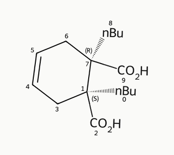 CCCC[C@]1(C(=O)O)CC=CC[C@@]1(CCCC)C(=O)O